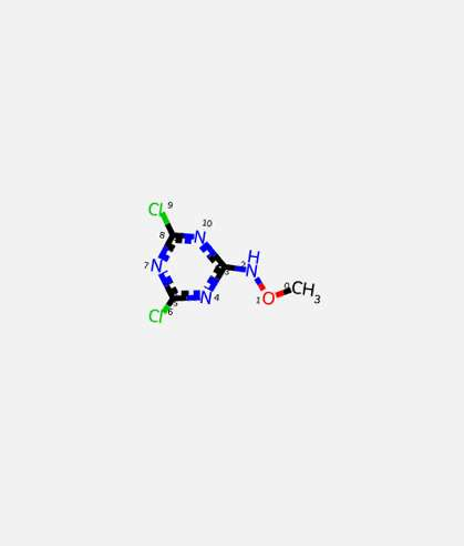 CONc1nc(Cl)nc(Cl)n1